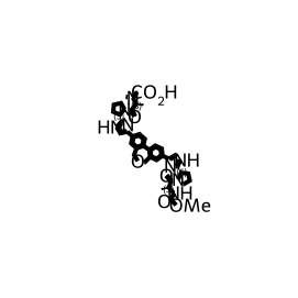 COC(=O)N[C@@H](C)C(=O)N1CCC[C@H]1c1nc(-c2ccc3c(c2)COCc2cc(-c4c[nH]c([C@@H]5CCCN5C(=O)[C@H](C)N(C)C(=O)O)n4)ccc2-3)c[nH]1